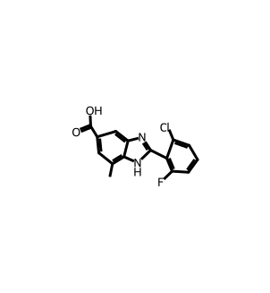 Cc1cc(C(=O)O)cc2nc(-c3c(F)cccc3Cl)[nH]c12